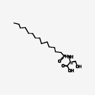 CCCCCCCCCCCCCC[PH](=O)N[C@@H](CO)C(=O)O